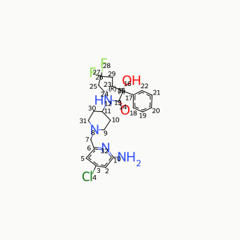 Nc1cc(Cl)cc(CN2CCC(NC(=O)[C@](O)(c3ccccc3)[C@@H]3CCC(F)(F)C3)CC2)n1